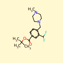 CN1CCN(Cc2ccc(C(=O)OC(C)(C)C)cc2C(F)F)CC1